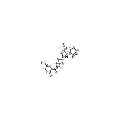 O=C(c1cc(O)ccc1F)N1CC2(CC(n3cc(C(F)(F)F)c(-c4cccnc4F)n3)C2)C1